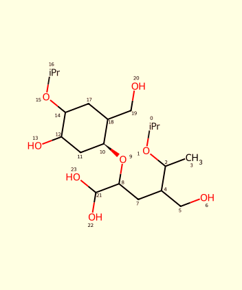 CC(C)OC(C)C(CO)CC(O[C@H]1CC(O)C(OC(C)C)CC1CO)C(O)O